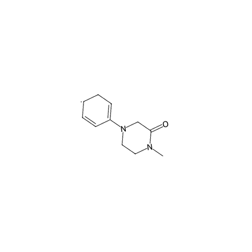 CN1CCN(C2=CC[CH]C=C2)CC1=O